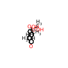 CC(O)CO[C@]1(C(=O)O)CC[C@H]2[C@@H]3CCC4=CC(=O)CC[C@]4(C)[C@H]3CC[C@@]21C